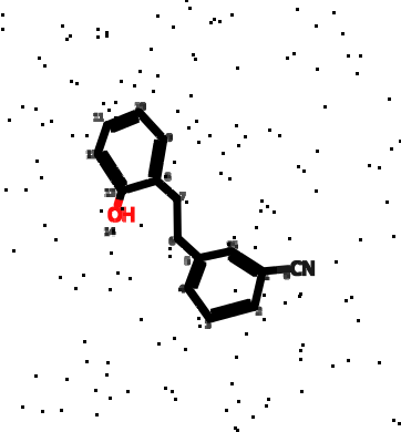 N#Cc1cccc(CCc2ccccc2O)c1